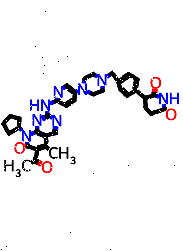 CC(=O)c1c(C)c2cnc(Nc3ccc(N4CCN(Cc5ccc(C6CCC(=O)NC6=O)cc5)CC4)cn3)nc2n(C2CCCC2)c1=O